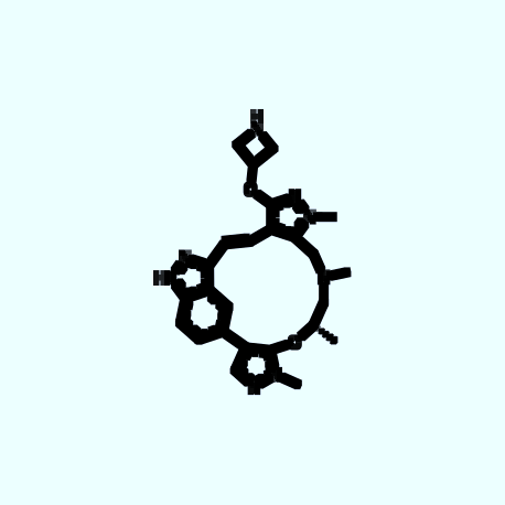 C[C@H]1CN(C)Cc2c(c(OC3CNC3)nn2C)/C=C/c2n[nH]c3ccc(cc23)-c2cnn(C)c2O1